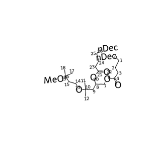 CCCCCCCCCCCCCC(=O)OCC(CC(C)(C)OCCC(C)(C)OC)OC(=O)CCCCCCCCCCCCC